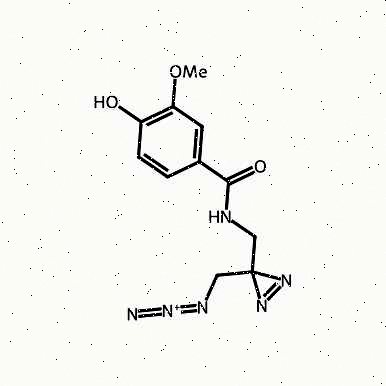 COc1cc(C(=O)NCC2(CN=[N+]=[N-])N=N2)ccc1O